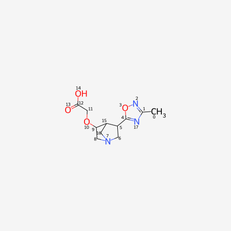 Cc1noc(C2CN3CC(OCC(=O)O)C2C3)n1